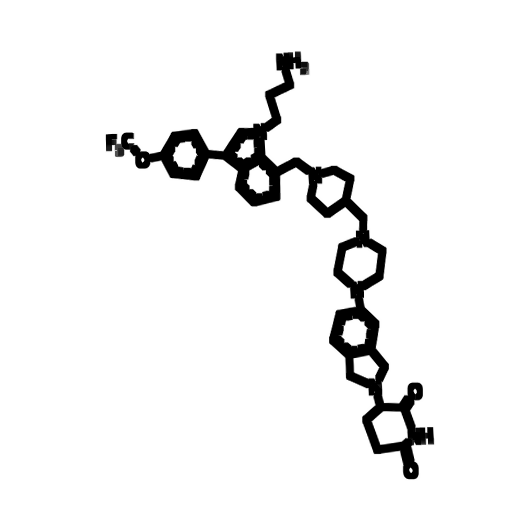 NCCCn1cc(-c2ccc(OC(F)(F)F)cc2)c2cccc(CN3CCC(CN4CCN(c5ccc6c(c5)CN(C5CCC(=O)NC5=O)C6)CC4)CC3)c21